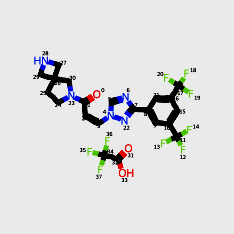 O=C(/C=C\n1cnc(-c2cc(C(F)(F)F)cc(C(F)(F)F)c2)n1)N1CCC2(CNC2)C1.O=C(O)C(F)(F)F